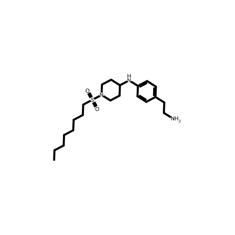 CCCCCCCCS(=O)(=O)N1CCC(Nc2ccc(CCN)cc2)CC1